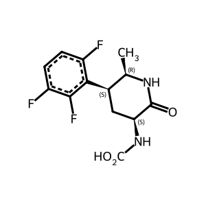 C[C@H]1NC(=O)[C@@H](NC(=O)O)C[C@H]1c1c(F)ccc(F)c1F